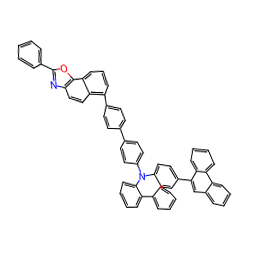 c1ccc(-c2nc3ccc4c(-c5ccc(-c6ccc(N(c7ccc(-c8cc9ccccc9c9ccccc89)cc7)c7ccccc7-c7ccccc7)cc6)cc5)cccc4c3o2)cc1